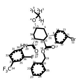 [2H]C([2H])([2H])O[C@@H]1C[C@H](c2ccc(Br)cc2)[C@@H](C(=O)OCc2ccccc2)[C@H](C(=O)Nc2ccc(C(F)(F)F)cc2F)C1